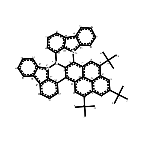 CC(C)(C)c1cc2c(C(C)(C)C)cc3c4c5c(c6cc(C(C)(C)C)c(c1)c2c36)-n1c2ccccc2c2cccc(c21)B5n1c2ccccc2c2cccc-4c21